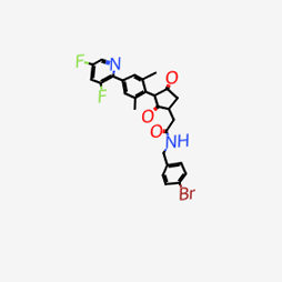 Cc1cc(-c2ncc(F)cc2F)cc(C)c1C1C(=O)CC(CC(=O)NCc2ccc(Br)cc2)C1=O